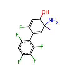 NC1(I)C=C(c2c(F)cc(F)c(F)c2F)C(F)=CC1O